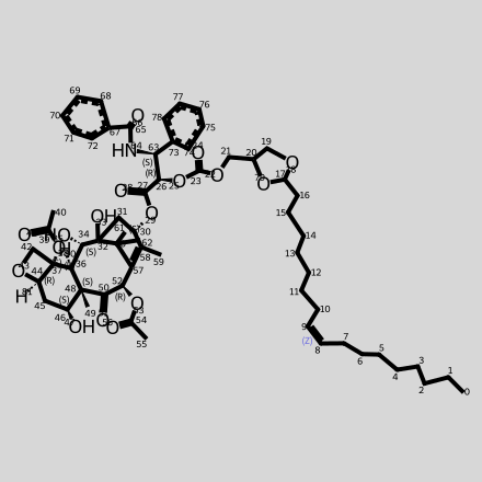 CCCCCCCC/C=C\CCCCCCCC1OCC(COC(=O)O[C@@H](C(=O)O[C@H]2CC3(O)[C@@H](O)[C@@H]4[C@]5(OC(C)=O)CO[C@@H]5C[C@H](O)[C@@]4(C)C(=O)[C@H](OC(C)=O)C(=C2C)C3(C)C)[C@@H](NC(=O)c2ccccc2)c2ccccc2)O1